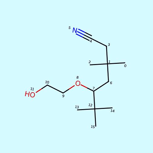 CC(C)(CC#N)CC(OCCO)C(C)(C)C